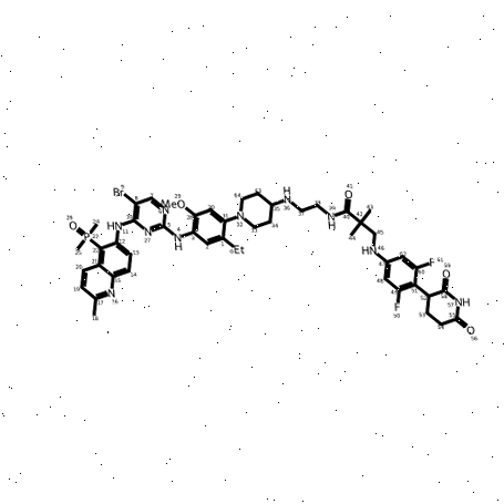 CCc1cc(Nc2ncc(Br)c(Nc3ccc4nc(C)ccc4c3P(C)(C)=O)n2)c(OC)cc1N1CCC(NCCNC(=O)C(C)(C)CNc2cc(F)c(C3CCC(=O)NC3=O)c(F)c2)CC1